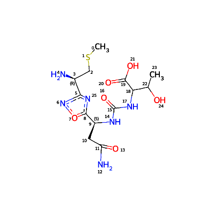 CSC[C@H](N)c1noc([C@H](CC(N)=O)NC(=O)NC(C(=O)O)C(C)O)n1